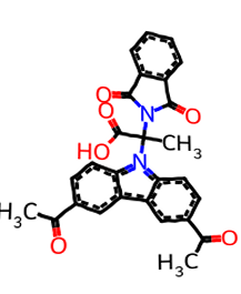 CC(=O)c1ccc2c(c1)c1cc(C(C)=O)ccc1n2C(C)(C(=O)O)N1C(=O)c2ccccc2C1=O